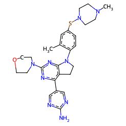 Cc1cc(SN2CCN(C)CC2)ccc1N1CCc2c(-c3cnc(N)nc3)nc(N3CCOCC3)nc21